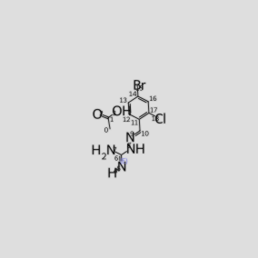 CC(=O)O.[H]/N=C(\N)NN=Cc1ccc(Br)cc1Cl